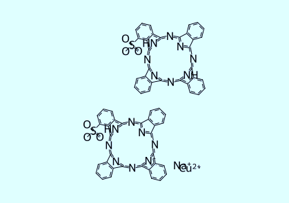 O=S(=O)([O-])c1cccc2c3nc4nc(nc5[n-]c(nc6nc(nc([nH]3)c12)-c1ccccc1-6)c1ccccc51)-c1ccccc1-4.O=S(=O)([O-])c1cccc2c3nc4nc(nc5[nH]c(nc6nc(nc([nH]3)c12)-c1ccccc1-6)c1ccccc51)-c1ccccc1-4.[Cu+2].[Na+]